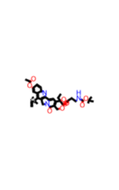 C=C[Si](C)(C)c1c2c(nc3ccc(OC(C)=O)cc13)-c1cc3c(c(=O)n1C2)COC(=O)C3(CC)OC(=O)CCNC(=O)OC(C)(C)C